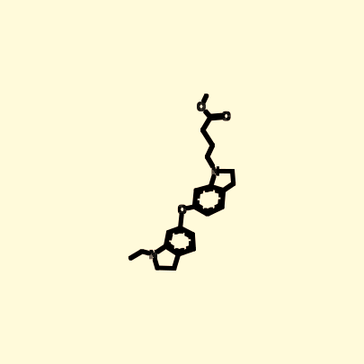 CCN1CCc2ccc(Oc3ccc4c(c3)N(CCCC(=O)OC)CC4)cc21